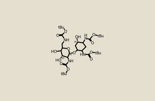 CC(C)(C)OC(=O)NCC1O[C@@H](OC2C[C@@H](O)C(NC(=O)OC(C)(C)C)CC2NC(=O)OC(C)(C)C)C(NC(=O)OC(C)(C)C)[C@@H](O)C1O